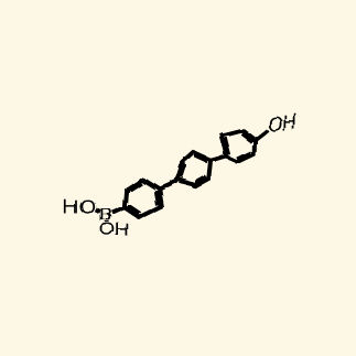 OB(O)c1ccc(-c2ccc(-c3ccc(O)cc3)cc2)cc1